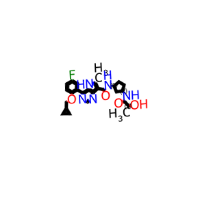 Cc1[nH]c2c(-c3cc(F)ccc3OCC3CC3)ncnc2c1C(=O)N[C@H]1CC[C@@H](NC(=O)[C@H](C)O)C1